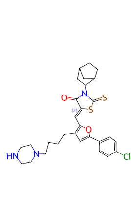 O=C1/C(=C/c2oc(-c3ccc(Cl)cc3)cc2CCCCN2CCNCC2)SC(=S)N1C1CC2CCC1C2